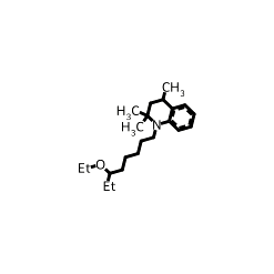 CCOC(CC)CCCCCN1c2ccccc2C(C)CC1(C)C